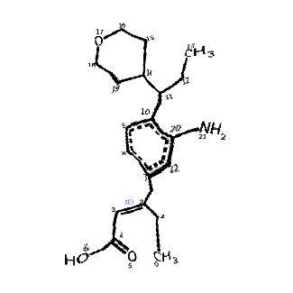 CC/C(=C\C(=O)O)c1ccc(C(CC)C2CCOCC2)c(N)c1